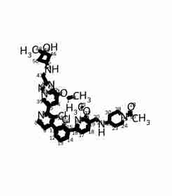 CCOc1cc(-c2nccc(-c3cccc(-c4ccc(CNC5CCN(C(C)=O)CC5)c(OC)n4)c3Cl)c2Cl)cn2nc(CNC3CC(C)(O)C3)nc12